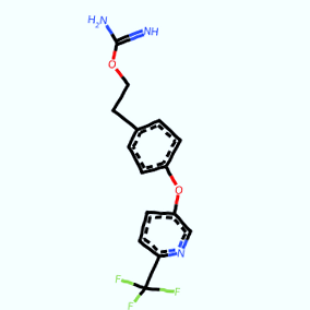 N=C(N)OCCc1ccc(Oc2ccc(C(F)(F)F)nc2)cc1